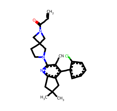 C=CC(=O)N1CC2(CCN(c3nc4c(c(-c5ccccc5Cl)c3C#N)CC(C)(C)C4)C2)C1